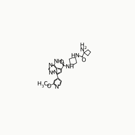 COc1cc(-c2cc(C(=O)NC3CCC(NC(=O)C4(N)CCC4)CC3)c3c(N)ncnn23)ccn1